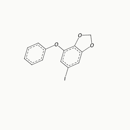 Ic1cc2c(c(Oc3ccccc3)c1)OCO2